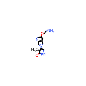 Cc1c(N2Cc3cc(OCCN)cnc3C2)cn[nH]c1=O